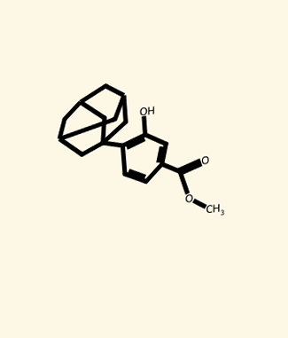 COC(=O)c1ccc(C23CC4CC(CC(C4)C2)C3)c(O)c1